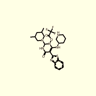 CC1CC(C)CN(C2NC(=O)C(c3nc4ccccc4s3)=C(N[C@@H]3CCCNC3)N2OC(=O)C(F)(F)F)C1